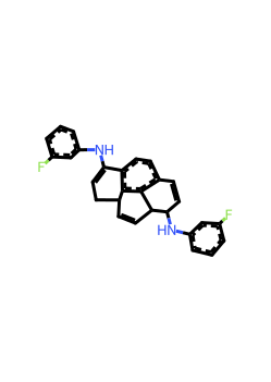 Fc1cccc(NC2=CCC3C=CC4c5c(ccc2c53)C=CC4Nc2cccc(F)c2)c1